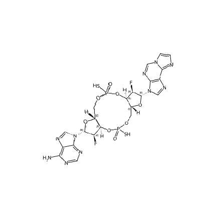 Nc1ncnc2c1ncn2[C@@H]1O[C@@H]2COP(=O)(S)O[C@H]3[C@@H](F)[C@H](n4cnc5c4ncn4ccnc54)O[C@@H]3COP(=O)(S)O[C@H]2[C@H]1F